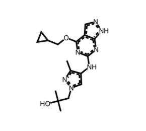 Cc1nn(CC(C)(C)O)cc1Nc1nc(OCC2CC2)c2cn[nH]c2n1